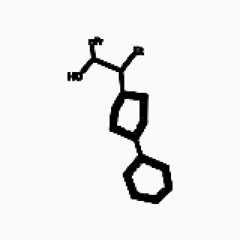 [CH2]CC(c1ccc(-c2ccccc2)cc1)C(O)CCC